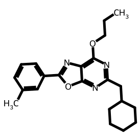 CCCOc1nc(CC2CCCCC2)nc2oc(-c3cccc(C)c3)nc12